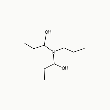 CCCN(C(O)CC)C(O)CC